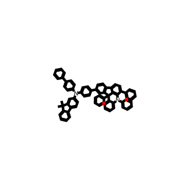 CC1(C)c2ccccc2-c2ccc(N(c3ccc(-c4ccccc4)cc3)c3ccc(-c4ccc5c(c4)C4(c6ccccc6)c6ccccc6N(c6ccccc6)c6c(-c7ccccc7)ccc-5c64)cc3)cc21